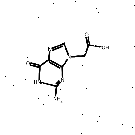 Nc1nc2c(ncn2CC(=O)O)c(=O)[nH]1